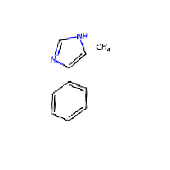 C.c1c[nH]cn1.c1ccccc1